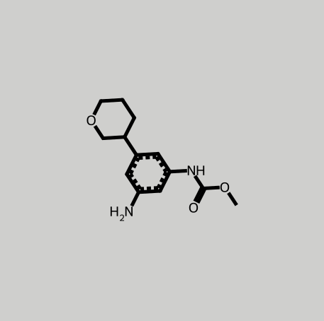 COC(=O)Nc1cc(N)cc(C2CCCOC2)c1